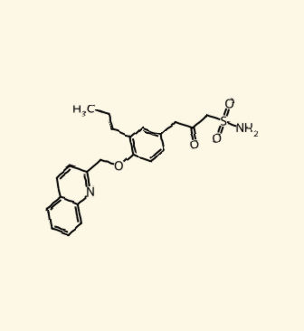 CCCc1cc(CC(=O)CS(N)(=O)=O)ccc1OCc1ccc2ccccc2n1